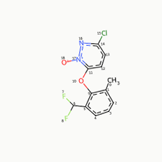 Cc1cccc(C(F)F)c1Oc1ccc(Cl)n[n+]1[O-]